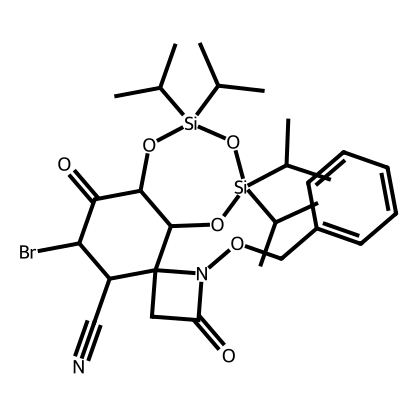 CC(C)[Si]1(C(C)C)OC2C(=O)C(Br)C(C#N)C3(CC(=O)N3OCc3ccccc3)C2O[Si](C(C)C)(C(C)C)O1